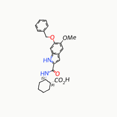 COc1cc2cc(C(=O)N[C@H]3CCCC[C@H]3C(=O)O)[nH]c2cc1OCc1ccccc1